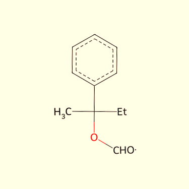 CCC(C)(O[C]=O)c1ccccc1